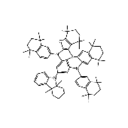 CC1(C)CCC(C)(C)c2cc(N3c4cc5c(cc4B4c6c3cc(N3c7ccccc7C7(C)CCCCC37C)cc6N(c3ccc6c(c3)C(C)(C)CCC6(C)C)c3oc6c(c34)C(C)(C)CCC6(C)C)C(C)(C)CCC5(C)C)ccc21